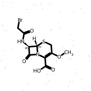 COC1=C(C(=O)O)N2C(=O)[C@@H](NC(=O)CBr)[C@@H]2SC1